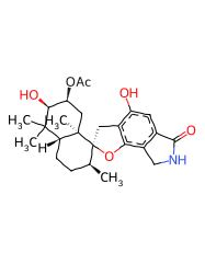 CC(=O)O[C@H]1C[C@]2(C)[C@H](CC[C@H](C)[C@@]23Cc2c(O)cc4c(c2O3)CNC4=O)C(C)(C)[C@H]1O